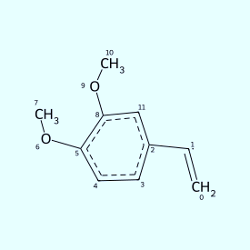 C=[C]c1ccc(OC)c(OC)c1